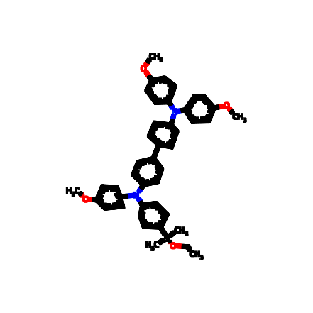 CCO[Si](C)(C)c1ccc(N(c2ccc(OC)cc2)c2ccc(-c3ccc(N(c4ccc(OC)cc4)c4ccc(OC)cc4)cc3)cc2)cc1